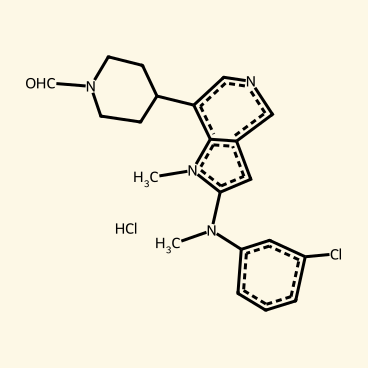 CN(c1cccc(Cl)c1)c1cc2cncc(C3CCN(C=O)CC3)c2n1C.Cl